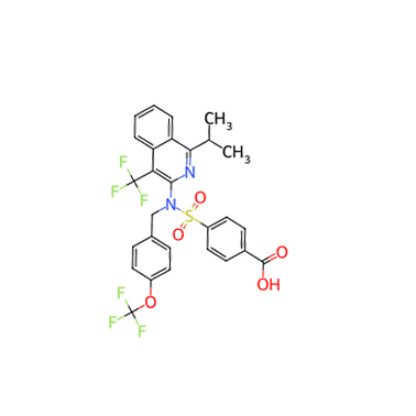 CC(C)c1nc(N(Cc2ccc(OC(F)(F)F)cc2)S(=O)(=O)c2ccc(C(=O)O)cc2)c(C(F)(F)F)c2ccccc12